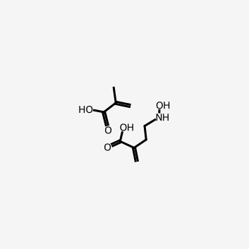 C=C(C)C(=O)O.C=C(CCNO)C(=O)O